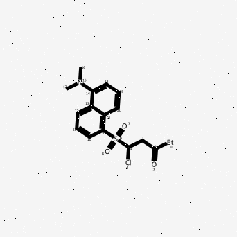 CCC(=O)CC(Cl)S(=O)(=O)c1cccc2c(N(C)C)cccc12